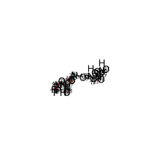 CN(CCCO[C@H]1C[C@H](Nc2cccc3c2C(=O)N(C2CCC(=O)NC2=O)C3=O)C1)C[C@]1(C)Cc2cc(NC(=O)c3cccc(C(F)(F)F)n3)c(N3CCOCC3)cc2O1